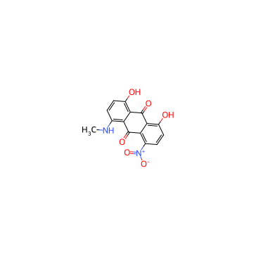 CNc1ccc(O)c2c1C(=O)c1c([N+](=O)[O-])ccc(O)c1C2=O